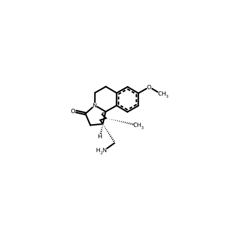 COc1ccc2c(c1)CCN1C(=O)C[C@H]3[C@H](CN)[C@@H](C)C[C@]231